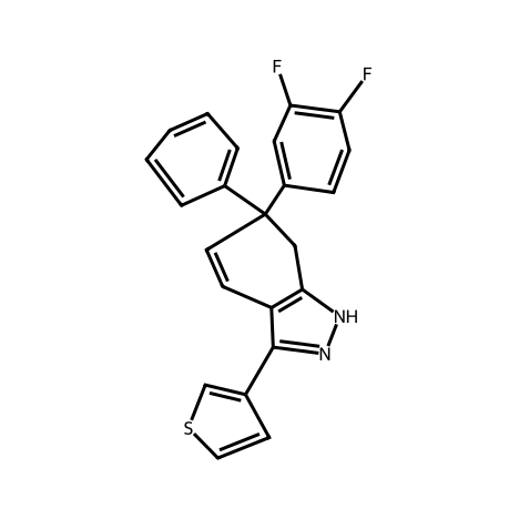 Fc1ccc(C2(c3ccccc3)C=Cc3c(-c4ccsc4)n[nH]c3C2)cc1F